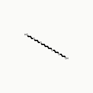 OCCCOCCCOCCCCCCOCCCOCCCO